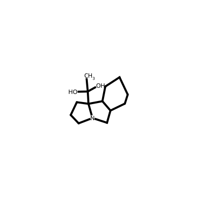 CC(O)(O)C12CCCN1CC1CCCCC12